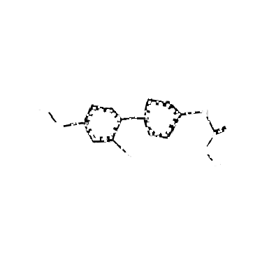 CCCCOc1ccc(-c2ccc(NC(=O)OC(C)(C)C)cc2)c([N+](=O)[O-])c1